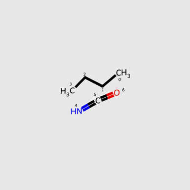 CCCC.N=C=O